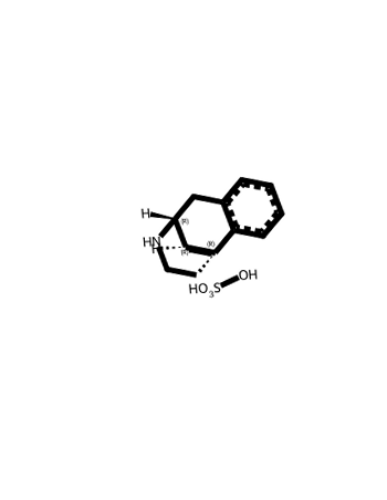 O=S(=O)(O)O.c1ccc2c(c1)C[C@H]1NCC[C@@]23CCCC[C@@H]13